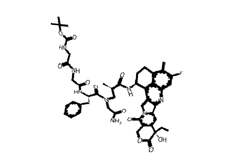 CC[C@@]1(O)C(=O)OCc2c1cc1n(c2=O)Cc2c-1nc1cc(F)c(C)c3c1c2[C@@H](NC(=O)[C@H](C)CN(CC(N)=O)C(=O)[C@H](Cc1ccccc1)NC(=O)CNC(=O)CNC(=O)OC(C)(C)C)CC3